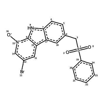 O=S(=O)(Cc1ccc2[nH]c3c(cc(Br)c[n+]3[O-])c2c1)c1ccccc1